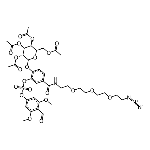 COc1cc(OS(=O)(=O)Oc2cc(C(=O)NCCOCCOCCOCCN=[N+]=[N-])ccc2OC2O[C@H](COC(C)=O)[C@H](OC(C)=O)[C@H](OC(C)=O)[C@H]2OC(C)=O)cc(OC)c1C=O